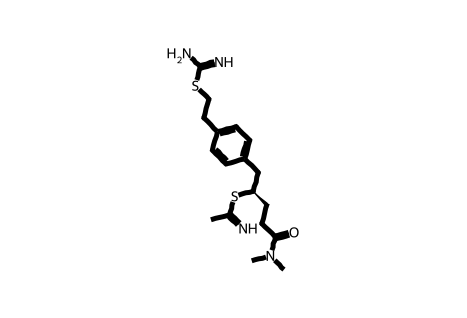 CC(=N)S[C@H](CCC(=O)N(C)C)Cc1ccc(CCSC(=N)N)cc1